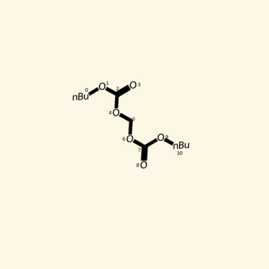 CCCCOC(=O)OCOC(=O)OCCCC